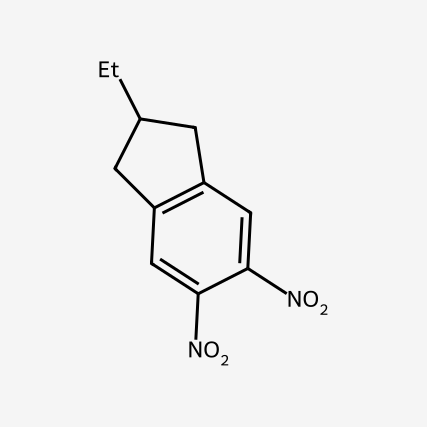 CCC1Cc2cc([N+](=O)[O-])c([N+](=O)[O-])cc2C1